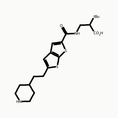 CC(C)(C)C(CNC(=O)c1cc2cc(CCC3CCNCC3)sc2s1)C(=O)O